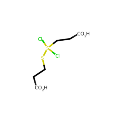 O=C(O)CCSS(Cl)(Cl)CCC(=O)O